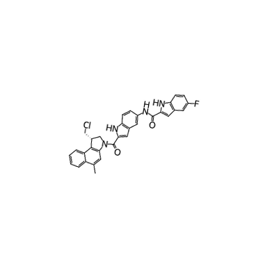 Cc1cc2c(c3ccccc13)[C@H](CCl)CN2C(=O)c1cc2cc(NC(=O)c3cc4cc(F)ccc4[nH]3)ccc2[nH]1